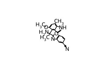 COc1cc(C)c2[nH]ccc2c1C(C)(N)c1nc2cc(C#N)ccc2o1